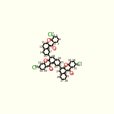 O=c1c2cccc(Cl)c2oc2ccc3ccc(-c4cc5ccc(-c6cc7ccccc7c7c(=O)c8cc(Cl)ccc8oc67)cc5c5c(=O)c6ccc(Cl)cc6oc45)cc3c12